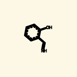 N=Cc1ccccc1O